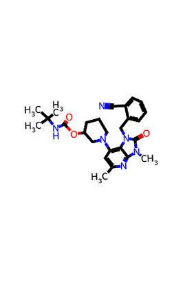 Cc1cc(N2CCCC(OC(=O)NC(C)(C)C)C2)c2c(n1)n(C)c(=O)n2Cc1ccccc1C#N